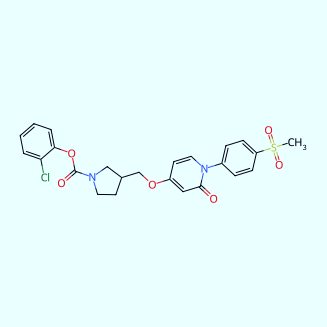 CS(=O)(=O)c1ccc(-n2ccc(OCC3CCN(C(=O)Oc4ccccc4Cl)C3)cc2=O)cc1